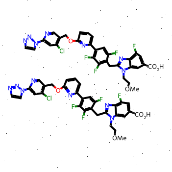 COCCn1c(Cc2c(F)cc(-c3cccc(OCc4cnc(-n5ccnn5)cc4Cl)n3)c(F)c2F)nc2c(F)cc(C(=O)O)cc21.COCCn1c(Cc2c(F)cc(-c3cccc(OCc4cnc(-n5ccnn5)cc4Cl)n3)c(F)c2F)nc2c(F)cc(C(=O)O)cc21